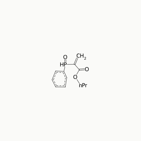 C=C(C(=O)OCCC)[PH](=O)c1ccccc1